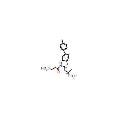 Cc1ccc(-c2ccc(C[C@H](C[C@@H](C)C(=O)O)NC(=O)CCC(=O)O)cc2)cc1